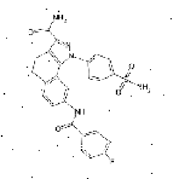 NC(=O)c1nn(-c2ccc(S(N)(=O)=O)cc2)c2c1CCc1ccc(NC(=O)c3ccc(F)cc3)cc1-2